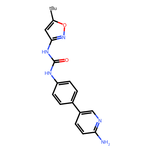 CC(C)(C)c1cc(NC(=O)Nc2ccc(-c3ccc(N)nc3)cc2)no1